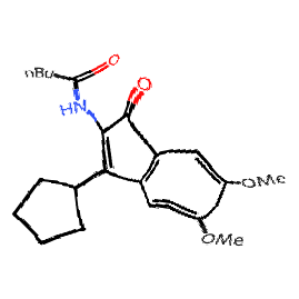 CCCCC(=O)NC1=C(C2CCCC2)c2cc(OC)c(OC)cc2C1=O